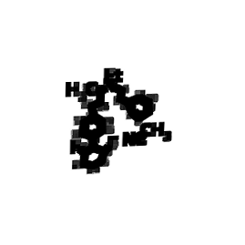 CC#N.CCN(CCc1ccccc1)C(C)CCc1ccc(C2C(F)CCCC2F)cc1